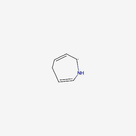 [CH]1C=CCC=CN1